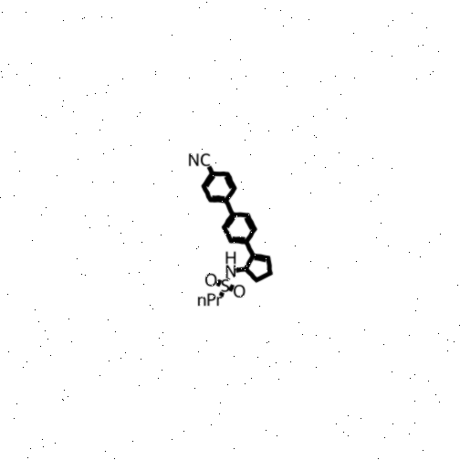 CCCS(=O)(=O)NC1CCC=C1c1ccc(-c2ccc(C#N)cc2)cc1